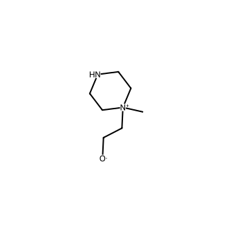 C[N+]1(CC[O])CCNCC1